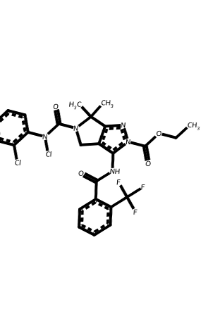 CCOC(=O)n1nc2c(c1NC(=O)c1ccccc1C(F)(F)F)CN(C(=O)N(Cl)c1ccccc1Cl)C2(C)C